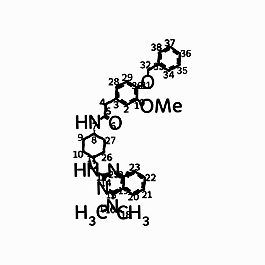 COc1cc(CC(=O)N[C@H]2CC[C@@H](Nc3nc(N(C)C)c4ccccc4n3)CC2)ccc1OCc1ccccc1